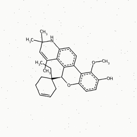 CCC1([C@@H]2Oc3ccc(O)c(OC)c3-c3ccc4c(c32)C(C)=CC(C)(C)N4)CC=CCC1